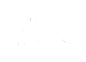 NC1C=CC(CC(=O)C(=O)O)(C(=O)O)C=C1